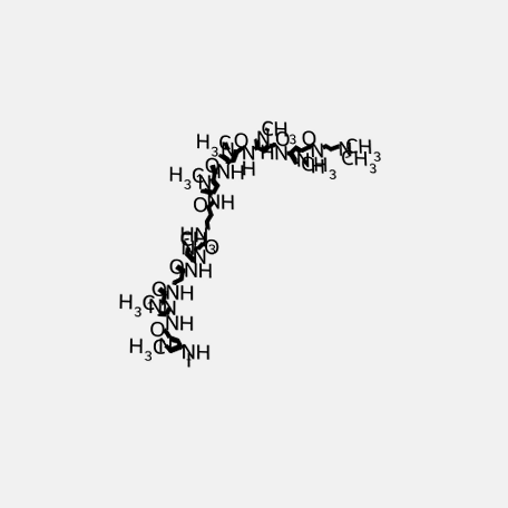 CN(C)CCCNC(=O)c1cc(NC(=O)c2cc(NC(=O)c3cc(NC(=O)c4cc(NC(=O)CCCNC(=O)c5nc(NC(=O)CCNC(=O)c6nc(NC(=O)c7cc(NI)cn7C)cn6C)cn5C)cn4C)cn3C)cn2C)cn1C